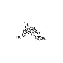 CCOC[C@@]1(O)CC[C@H]2[C@H](CC[C@@H]3[C@@H]2CC[C@]2(C)C([C@@H](C)N4Cc5cc(C#N)ccc5C4=O)CC[C@@H]32)C1